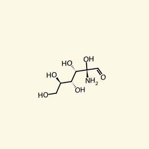 N[C@@](O)(C=O)[C@@H](O)[C@H](O)[C@H](O)CO